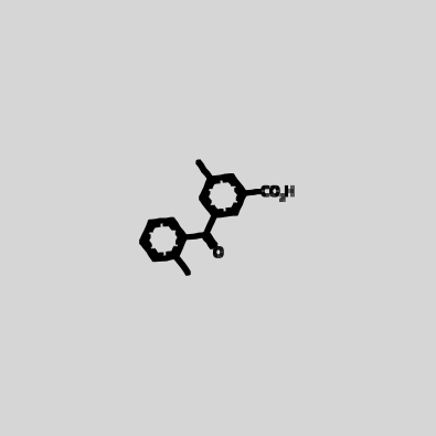 Cc1cc(C(=O)O)cc(C(=O)c2ccccc2C)c1